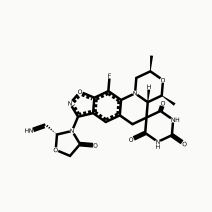 C[C@@H]1CN2c3c(cc4c(N5C(=O)CO[C@@H]5C=N)noc4c3F)CC3(C(=O)NC(=O)NC3=O)[C@H]2[C@H](C)O1